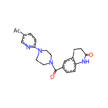 CC(=O)c1ccc(N2CCN(C(=O)c3ccc4c(c3)CCC(=O)N4)CC2)nc1